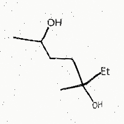 CCC(C)(O)CCC(C)O